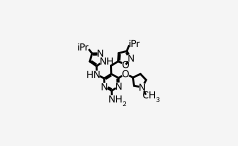 CC(C)c1cc(Nc2nc(N)nc(OC3CCN(C)C3)c2Cc2cc(C(C)C)no2)[nH]n1